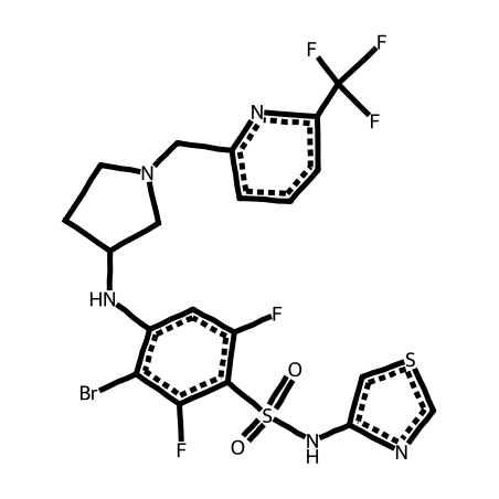 O=S(=O)(Nc1cscn1)c1c(F)cc(NC2CCN(Cc3cccc(C(F)(F)F)n3)C2)c(Br)c1F